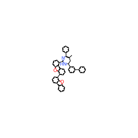 CC1=C(c2ccccc2)N=C(c2cccc3oc4c(-c5cccc6c5oc5ccccc56)cccc4c23)NC(c2cccc(-c3ccccc3)c2)C1